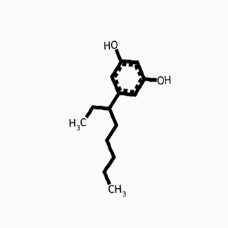 CCCCCC(CC)c1cc(O)cc(O)c1